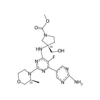 COC(=O)N1CC[C@](CO)(Nc2nc(N3CCOC[C@@H]3C)nc(-c3cnc(N)nc3)c2F)C1